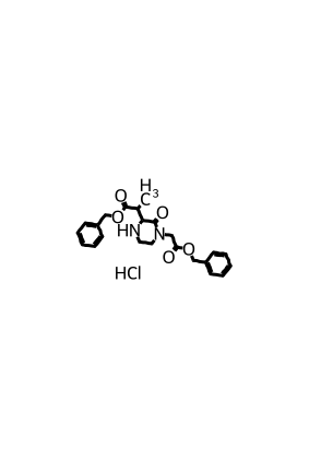 CC(C(=O)OCc1ccccc1)C1NCCN(CC(=O)OCc2ccccc2)C1=O.Cl